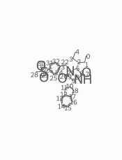 CCC(CC)[C@@H]1C(=O)N[C@H](C2Cc3ccccc3C2)C(=O)N1Cc1ccc(S(C)(=O)=O)cc1